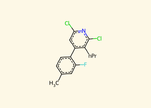 CCCc1c(-c2ccc(C)cc2F)cc(Cl)nc1Cl